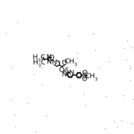 COCC(Oc1nc2ccc(-c3ccc(S(C)(=O)=O)cc3)nc2s1)C1CCN(c2nc(C(C)C)no2)CC1